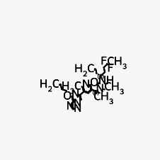 C=CCCOc1nc(-c2cc([C@@H](C)N(CC)C(=O)N[C@H](CC=C)CCC(C)(F)F)cnc2C)cn2ncnc12